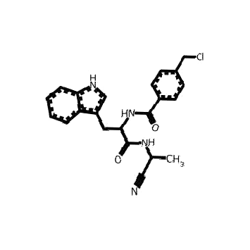 CC(C#N)NC(=O)C(Cc1c[nH]c2ccccc12)NC(=O)c1ccc(CCl)cc1